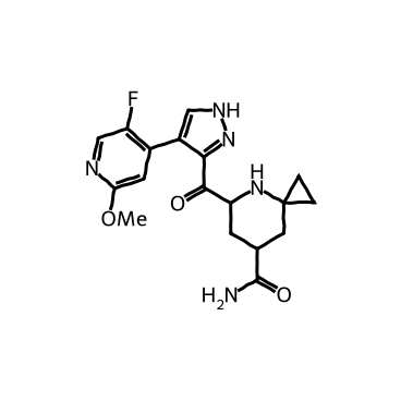 COc1cc(-c2c[nH]nc2C(=O)C2CC(C(N)=O)CC3(CC3)N2)c(F)cn1